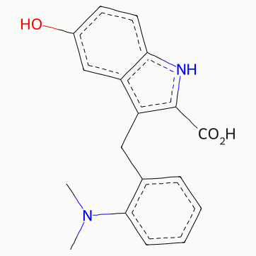 CN(C)c1ccccc1Cc1c(C(=O)O)[nH]c2ccc(O)cc12